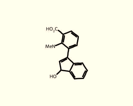 CNc1c(C(=O)O)cccc1C1=CC(O)c2ccccc21